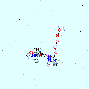 COC(C(C)C(=O)NC(Cc1ccccc1)c1nccs1)C1CCCN1C(=O)CCC(=O)CNC(=O)C(C(C)C)N(C)C(=O)CCOCCOCCOCCOCCON